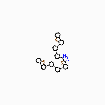 c1cc(-c2cccc(-c3cccc4c3sc3c(-c5cccc(-c6cccc(-c7cccc8c7sc7ccccc78)c6)c5)ncnc34)c2)cc(-c2cccc3c2sc2ccccc23)c1